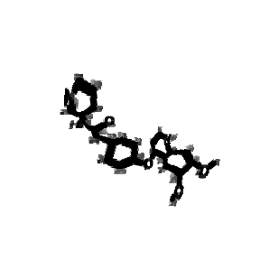 COc1cc2nccc(Oc3ccc(CC(=O)Nc4cccnc4)cc3)c2cc1OC